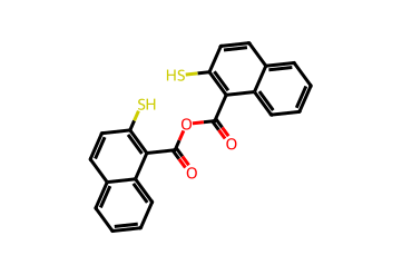 O=C(OC(=O)c1c(S)ccc2ccccc12)c1c(S)ccc2ccccc12